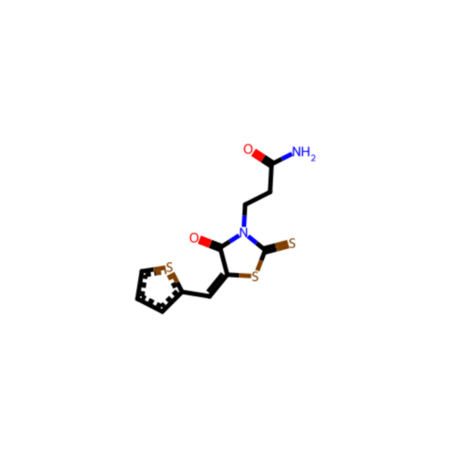 NC(=O)CCN1C(=O)/C(=C\c2cccs2)SC1=S